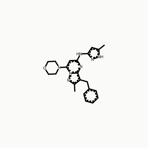 Cc1cc(Nc2cc(N3CCOCC3)n3nc(C)c(Cc4ccccc4)c3n2)n[nH]1